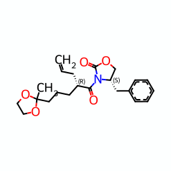 C=CC[C@@H](CCCC1(C)OCCO1)C(=O)N1C(=O)OC[C@@H]1Cc1ccccc1